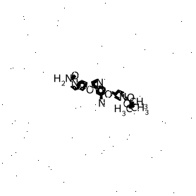 CC(C)(C)OC(=O)N1CCC(COc2cc3nccc(Oc4ccc5c(ccn5C(N)=O)c4)c3cc2C#N)CC1